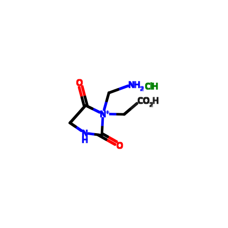 Cl.NC[N+]1(CC(=O)O)C(=O)CNC1=O